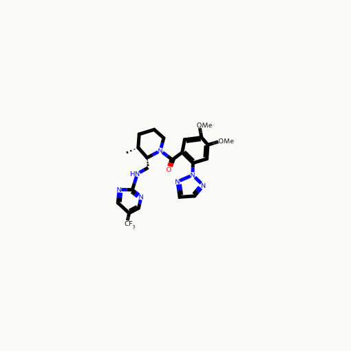 COc1cc(C(=O)N2CCC[C@@H](C)[C@H]2CNc2ncc(C(F)(F)F)cn2)c(-n2nccn2)cc1OC